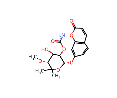 CO[C@@H]1[C@@H](O)[C@@H](OC(N)=O)[C@H](Oc2ccc3ccc(=O)oc3c2)OC1(C)C